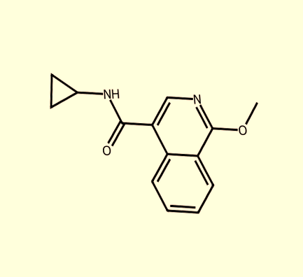 COc1ncc(C(=O)NC2CC2)c2ccccc12